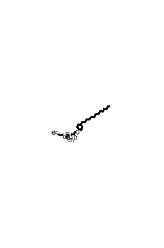 CCCCCCCCCCCCCCc1ccc(OCC(COP(=O)(O)OCCBr)OC)cc1